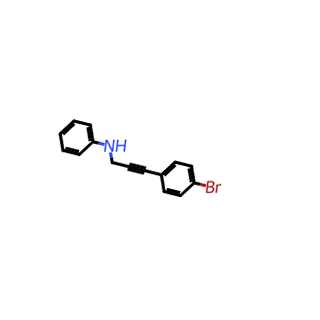 Brc1ccc(C#CCNc2ccccc2)cc1